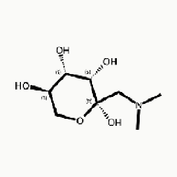 CN(C)C[C@@]1(O)OC[C@@H](O)[C@H](O)[C@@H]1O